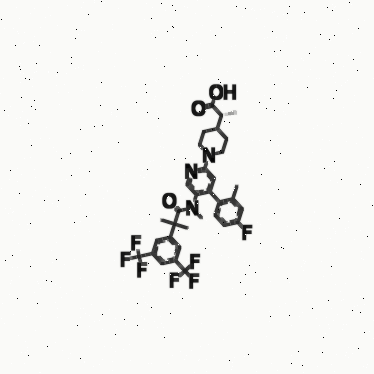 Cc1cc(F)ccc1-c1cc(N2CCC([C@@H](C)C(=O)O)CC2)ncc1N(C)C(=O)C(C)(C)c1cc(C(F)(F)F)cc(C(F)(F)F)c1